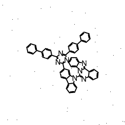 c1ccc(-c2ccc(-c3nc(-c4ccc(-c5ccccc5)cc4)nc(-c4ccc5c6ccccc6n(-c6nc7ccccc7c7nc8ccccc8n67)c5c4)n3)cc2)cc1